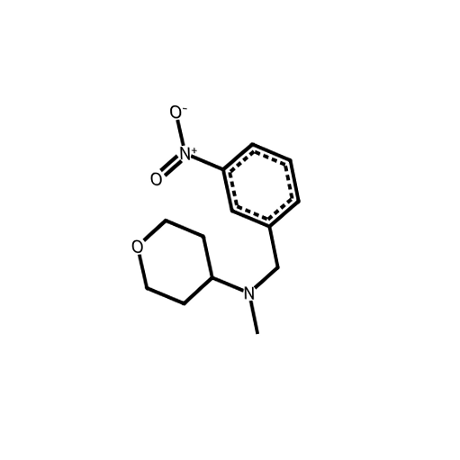 CN(Cc1cccc([N+](=O)[O-])c1)C1CCOCC1